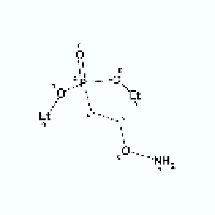 CCOP(=O)(CCON)OCC